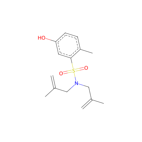 C=C(C)CN(CC(=C)C)S(=O)(=O)c1cc(O)ccc1C